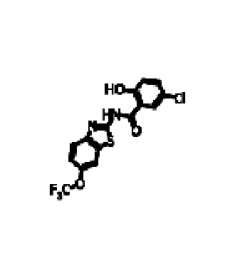 O=C(Nc1nc2ccc(OC(F)(F)F)cc2s1)c1cc(Cl)ccc1O